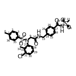 Cc1ccc(S(=O)(=O)N(CC(=O)NCc2ccc(C(=O)NS(C)(=O)=O)cc2)c2cccc(Cl)c2C)cc1